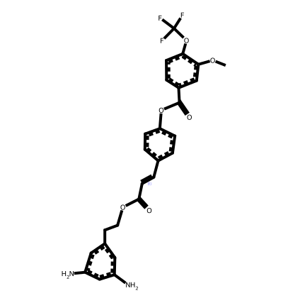 COc1cc(C(=O)Oc2ccc(/C=C/C(=O)OCCc3cc(N)cc(N)c3)cc2)ccc1OC(F)(F)F